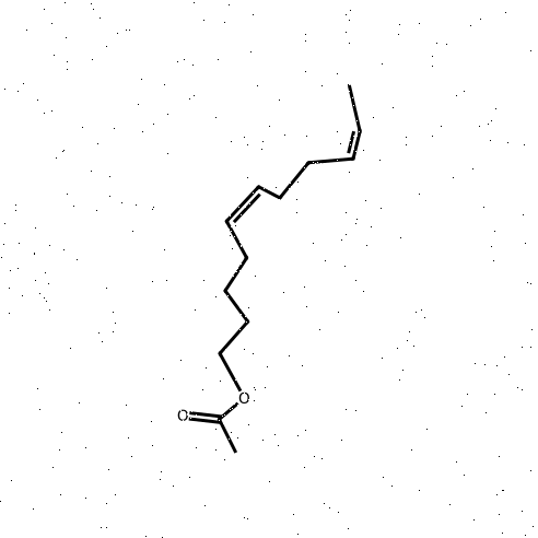 C/C=C\CC/C=C\CCCCOC(C)=O